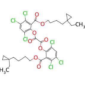 CCC1(CCCCOC(=O)c2c(Cl)c(Cl)cc(Cl)c2OC(=O)C(=O)Oc2c(Cl)cc(Cl)c(Cl)c2C(=O)OCCCCC2(CC)CC2)CC1